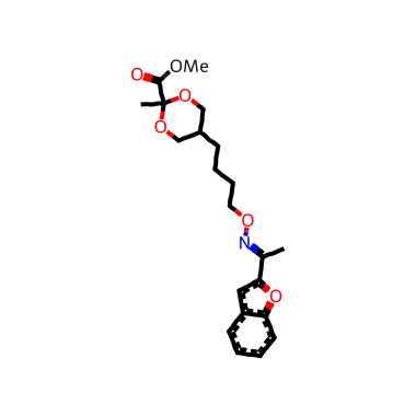 COC(=O)C1(C)OCC(CCCCON=C(C)c2cc3ccccc3o2)CO1